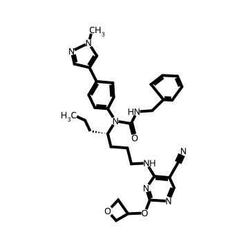 CCC[C@@H](CCCNc1nc(OC2COC2)ncc1C#N)N(C(=O)NCc1ccccc1)c1ccc(-c2cnn(C)c2)cc1